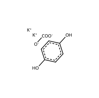 O=C([O-])[O-].Oc1ccc(O)cc1.[K+].[K+]